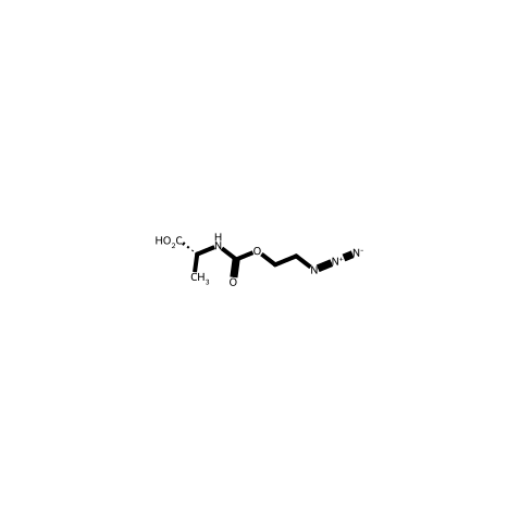 C[C@@H](NC(=O)OCCN=[N+]=[N-])C(=O)O